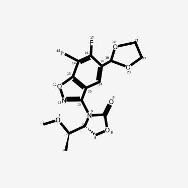 CO[C@H](C)[C@H]1COC(=O)N1c1noc2c(F)c(F)c(C3OCCO3)cc12